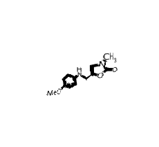 COc1ccc(NC[C@H]2CN(C)C(=O)O2)cc1